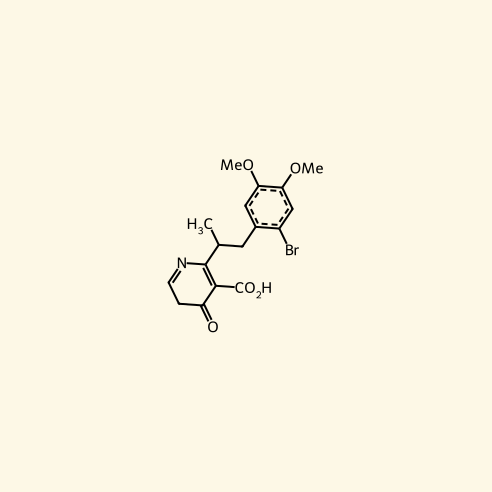 COc1cc(Br)c(CC(C)C2=C(C(=O)O)C(=O)CC=N2)cc1OC